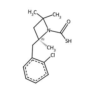 CC1(C)C[C@](C)(Cc2ccccc2Cl)N1C(=O)S